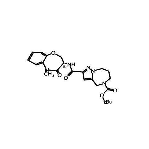 CN1C(=O)[C@@H](NC(=O)c2cc3n(n2)CCCN(C(=O)OC(C)(C)C)C3)COc2ccccc21